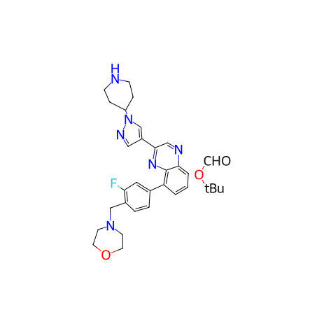 CC(C)(C)OC=O.Fc1cc(-c2cccc3ncc(-c4cnn(C5CCNCC5)c4)nc23)ccc1CN1CCOCC1